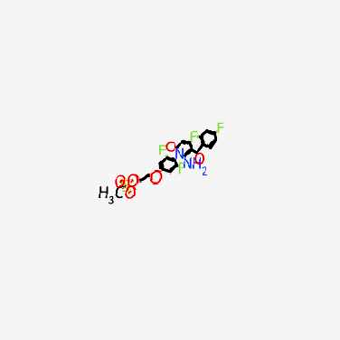 CS(=O)(=O)OCCOc1cc(F)c(-n2c(N)c(C(=O)c3ccc(F)cc3F)ccc2=O)c(F)c1